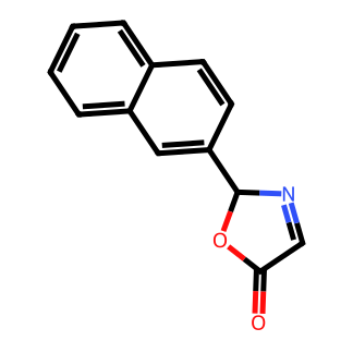 O=C1C=NC(c2ccc3ccccc3c2)O1